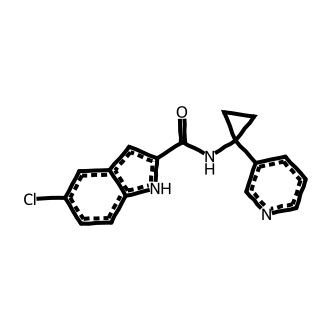 O=C(NC1(c2cccnc2)CC1)c1cc2cc(Cl)ccc2[nH]1